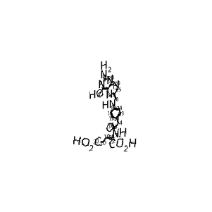 Nc1nc(O)c2nc(CNc3ccc(CC(=O)N[C@@H](CCC(=O)O)C(=O)O)cc3)cnc2n1